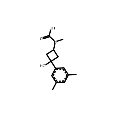 Cc1cc(C)cc(C2(O)CC(N(C)C(=O)O)C2)c1